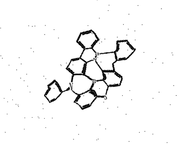 c1ccc(N2c3cccc4c3B3c5c(ccc6c5N5B(c7ccccc7-6)c6ccccc6-c6ccc2c3c65)S4)cc1